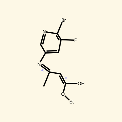 CCO/C(O)=C\C(C)=N/c1cnc(Br)c(F)c1